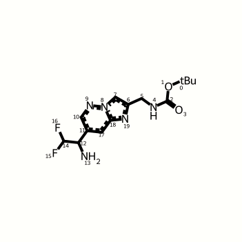 CC(C)(C)OC(=O)NCc1cn2ncc(C(N)C(F)F)cc2n1